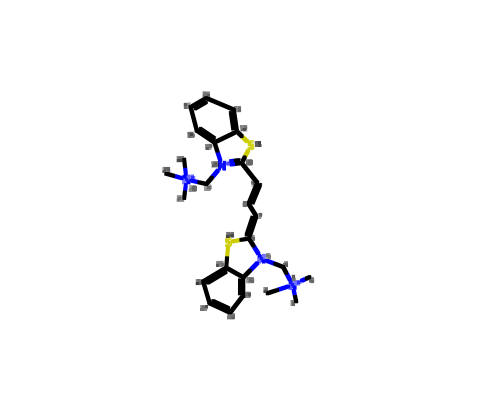 C[N+](C)(C)CN1/C(=C/C=C/c2sc3ccccc3[n+]2C[N+](C)(C)C)Sc2ccccc21